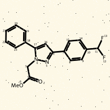 COC(=O)Cn1nc(-c2ccc(C(F)F)cc2)cc1-c1ccccc1